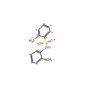 Cc1ccccc1NS(=O)(=O)c1ccccc1C